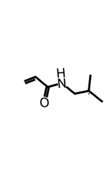 C=CC(=O)NC[C](C)C